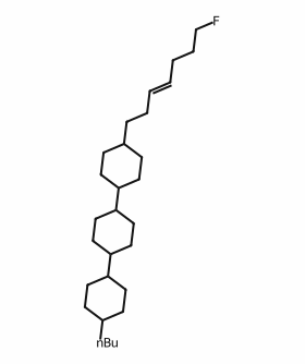 CCCCC1CCC(C2CCC(C3CCC(CC/C=C/CCCF)CC3)CC2)CC1